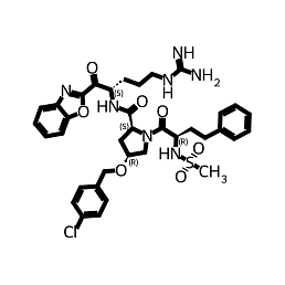 CS(=O)(=O)N[C@H](CCc1ccccc1)C(=O)N1C[C@H](OCc2ccc(Cl)cc2)C[C@H]1C(=O)N[C@@H](CCCNC(=N)N)C(=O)c1nc2ccccc2o1